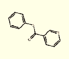 O=C(Sc1ccccc1)c1cccnc1